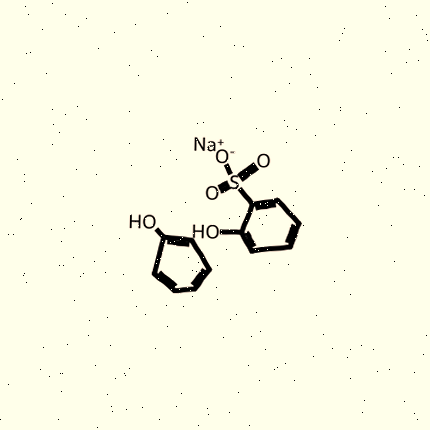 O=S(=O)([O-])c1ccccc1O.Oc1ccccc1.[Na+]